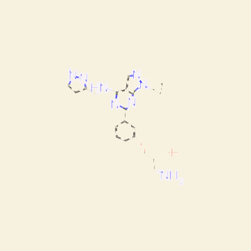 Cn1ccc(CNc2nc(-c3cccc(OCC(O)CN)c3)nc3c2cnn3C2CC2)n1